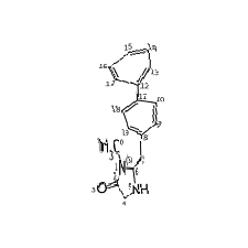 CN1C(=O)CN[C@@H]1Cc1ccc(-c2ccccc2)cc1